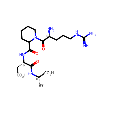 CC(C)[C@H](NC(=O)[C@H](CC(=O)O)NC(=O)C1CCCCN1C(=O)[C@@H](N)CCCNC(=N)N)C(=O)O